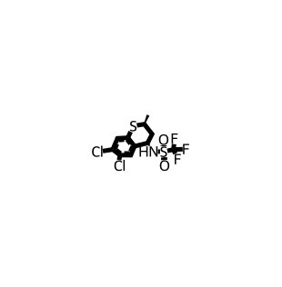 C[C@H]1C[C@H](NS(=O)(=O)C(F)(F)F)c2cc(Cl)c(Cl)cc2S1